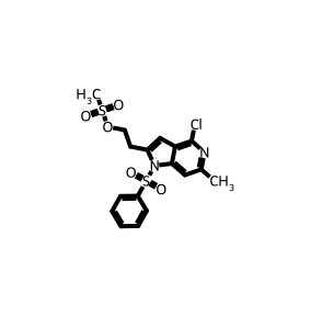 Cc1cc2c(cc(CCOS(C)(=O)=O)n2S(=O)(=O)c2ccccc2)c(Cl)n1